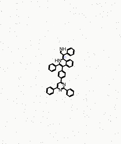 N=C/C(=C1\NC(c2ccccc2)=C(c2ccc(-c3cc(-c4ccccc4)nc(-c4ccccc4)n3)cc2)c2ccccc21)c1ccccc1